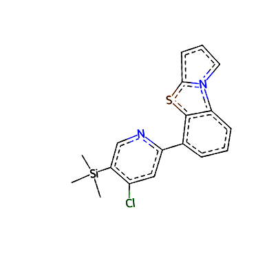 C[Si](C)(C)c1cnc(-c2cccc3c2sc2cccn23)cc1Cl